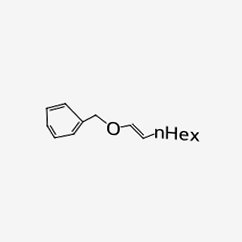 CCCCCCC=COCc1ccccc1